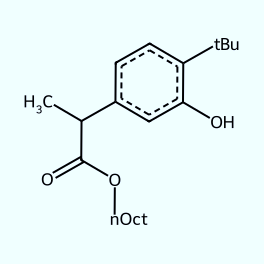 CCCCCCCCOC(=O)C(C)c1ccc(C(C)(C)C)c(O)c1